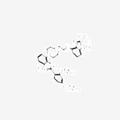 COc1ccc(-c2nc3c(N4CCN(CCOc5cccc6[nH]c(C(F)(F)F)nc56)CC4)cccc3[nH]2)c(OC)c1